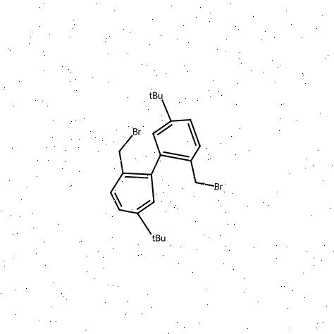 CC(C)(C)c1ccc(CBr)c(-c2cc(C(C)(C)C)ccc2CBr)c1